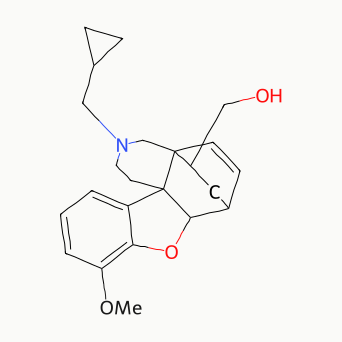 COc1cccc2c1OC1C3C=CC4(CN(CC5CC5)CCC214)C(CO)C3